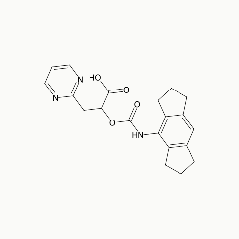 O=C(Nc1c2c(cc3c1CCC3)CCC2)OC(Cc1ncccn1)C(=O)O